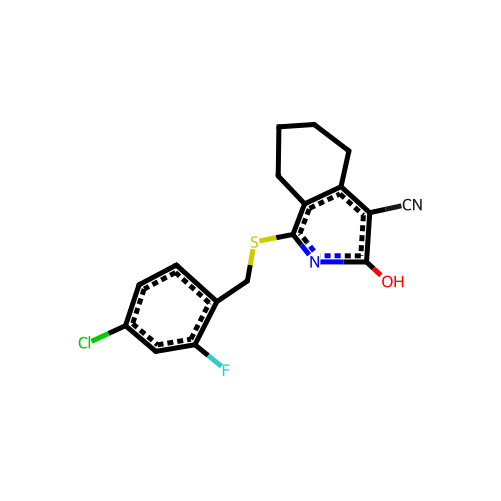 N#Cc1c(O)nc(SCc2ccc(Cl)cc2F)c2c1CCCC2